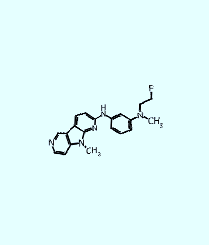 CN(CCF)c1cccc(Nc2ccc3c4cnccc4n(C)c3n2)c1